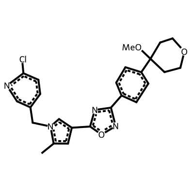 COC1(c2ccc(-c3noc(-c4cc(C)n(Cc5ccc(Cl)nc5)c4)n3)cc2)CCOCC1